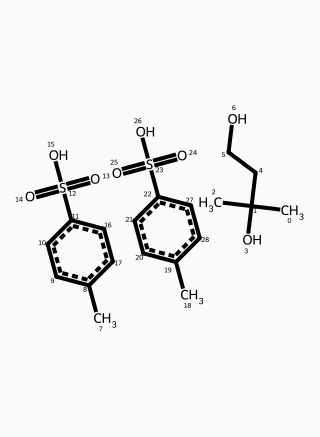 CC(C)(O)CCO.Cc1ccc(S(=O)(=O)O)cc1.Cc1ccc(S(=O)(=O)O)cc1